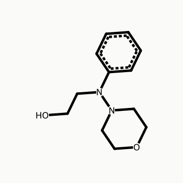 OCCN(c1ccccc1)N1CCOCC1